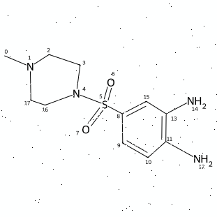 CN1CCN(S(=O)(=O)c2ccc(N)c(N)c2)CC1